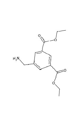 CCOC(=O)c1cc(CN)cc(C(=O)OCC)c1